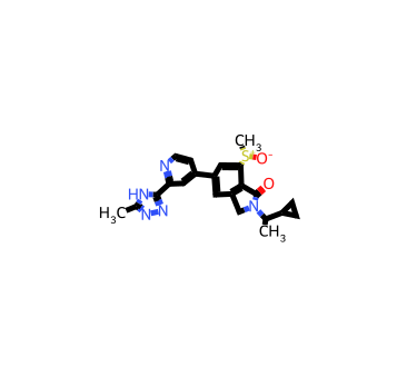 Cc1nnc(-c2cc(-c3cc4c(c([S+](C)[O-])c3)C(=O)N(C(C)C3CC3)C4)ccn2)[nH]1